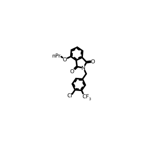 CCCOc1cccc2c1C(=O)N(Cc1ccc(Cl)c(C(F)(F)F)c1)C2=O